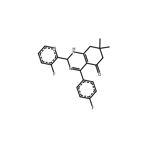 CC1(C)CC(=O)C2=C(C1)NC(c1ncccc1F)N=C2c1ccc(F)cc1